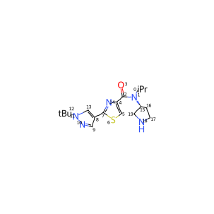 CC(C)N(C(=O)c1csc(-c2cnn(C(C)(C)C)c2)n1)[C@H]1CCNC1